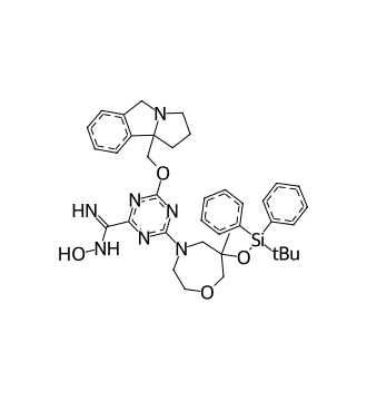 CC1(O[Si](c2ccccc2)(c2ccccc2)C(C)(C)C)COCCN(c2nc(OCC34CCCN3Cc3ccccc34)nc(C(=N)NO)n2)C1